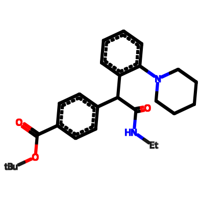 CCNC(=O)C(c1ccc(C(=O)OC(C)(C)C)cc1)c1ccccc1N1CCCCC1